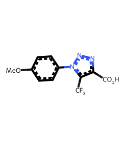 COc1ccc(-n2nnc(C(=O)O)c2C(F)(F)F)cc1